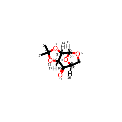 CC1(C)O[C@@H]2[C@@H]3OC[C@@H](O3)C(=O)[C@@H]2O1